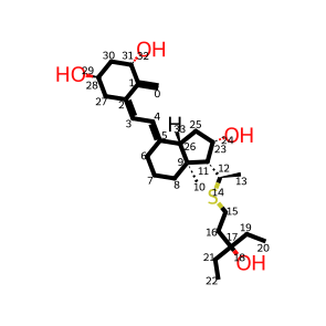 C=C1C(=CC=C2CCC[C@]3(C)[C@@H]([C@@H](C)SCCC(O)(CC)CC)[C@@H](O)C[C@@H]23)C[C@@H](O)C[C@@H]1O